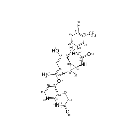 C=C(/C(O)=C\C=C(/C)Oc1ccnc2c1CCC(=O)N2)[C@@H]1[C@@H]2C[C@@]12NC(=O)Nc1ccc(F)c(C(F)(F)F)c1